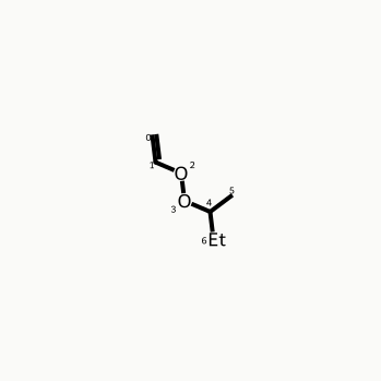 C=COOC(C)CC